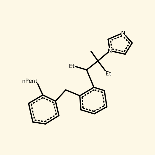 CCCCCc1ccccc1Cc1ccccc1C(CC)C(C)(CC)n1ccnc1